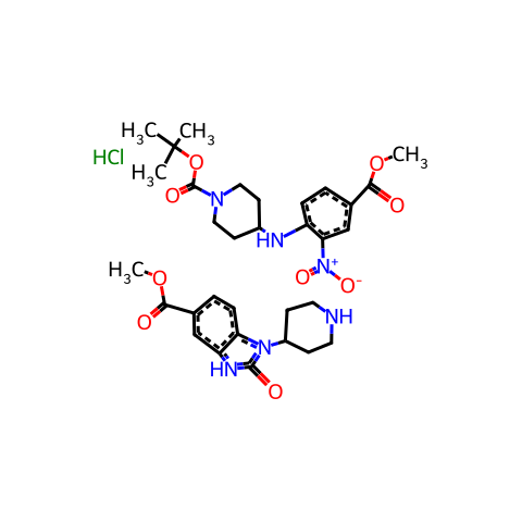 COC(=O)c1ccc(NC2CCN(C(=O)OC(C)(C)C)CC2)c([N+](=O)[O-])c1.COC(=O)c1ccc2c(c1)[nH]c(=O)n2C1CCNCC1.Cl